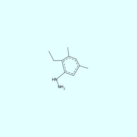 CCc1c(C)cc(C)cc1NN